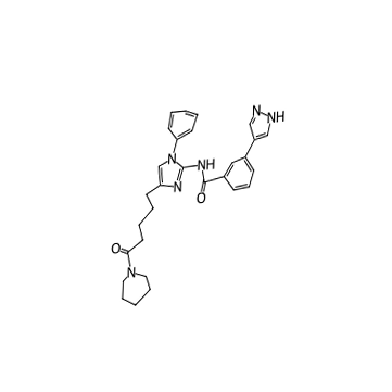 O=C(Nc1nc(CCCCC(=O)N2CCCCC2)cn1-c1ccccc1)c1cccc(-c2cn[nH]c2)c1